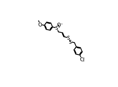 COc1ccc([S+]([O-])CC=CSSCc2ccc(Cl)cc2)cc1